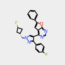 Fc1ccc(-c2nn(C[C@H]3C[C@H](F)C3)cc2-c2ncnc3oc(-c4ccccc4)cc23)cc1